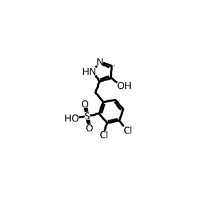 O=S(=O)(O)c1c(Cc2[nH]n[c]c2O)ccc(Cl)c1Cl